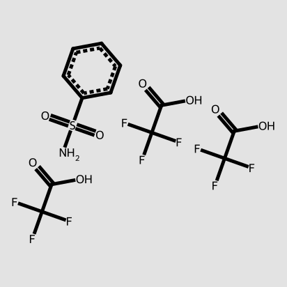 NS(=O)(=O)c1ccccc1.O=C(O)C(F)(F)F.O=C(O)C(F)(F)F.O=C(O)C(F)(F)F